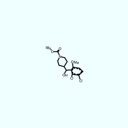 COc1ccc(Cl)c(Cl)c1C(O)C1CCN(C(=O)OC(C)(C)C)CC1